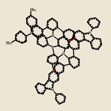 CC(C)(C)c1ccc(N(c2ccc(C(C)(C)C)cc2)c2ccc3c(c2)N(c2c(-c4ccccc4)cccc2-c2ccccc2)c2cc(-c4ccc5c(c4)c4ccccc4n5-c4ccccc4)cc4c2B3c2ccc(-c3ccc5c(c3)c3ccccc3n5-c3ccccc3)cc2N4c2c(-c3ccccc3)cccc2-c2ccccc2)cc1